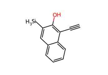 C#Cc1c(O)c([SiH3])cc2ccccc12